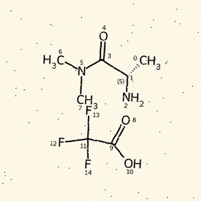 C[C@H](N)C(=O)N(C)C.O=C(O)C(F)(F)F